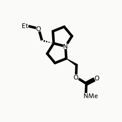 CCOC[C@]12CCCN1[C@@H](COC(=O)NC)CC2